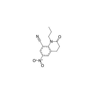 CCCN1C(=O)CCc2cc([N+](=O)[O-])cc(C#N)c21